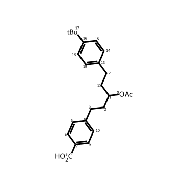 CC(=O)OC(CCc1ccc(C(=O)O)cc1)CCc1ccc(C(C)(C)C)cc1